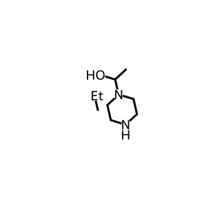 CC(O)N1CCNCC1.CCC